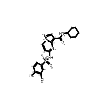 O=C(NC1CCCCC1)c1cnn2ccc(NS(=O)(=O)c3ccc(Cl)c(Cl)c3)nc12